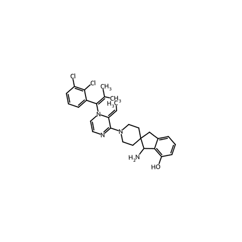 C/C=C1/C(N2CCC3(CC2)Cc2cccc(O)c2C3N)=NC=CN1C(=C(C)C)c1cccc(Cl)c1Cl